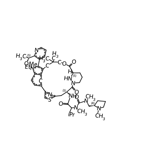 CCn1c(-c2cccnc2[C@H](C)OC)c2c3cc(ccc31)-c1csc(n1)C[C@H](NC(=O)C(C(C)C)N(C)C(=O)N(C)C[C@H]1CCCN1C)C(=O)N1CCC[C@H](N1)C(=O)OCC(C)(C)C2